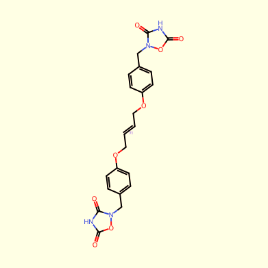 O=c1[nH]c(=O)n(Cc2ccc(OC/C=C/COc3ccc(Cn4oc(=O)[nH]c4=O)cc3)cc2)o1